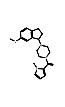 COc1ccc2c(c1)C(N1CCN(C(=O)c3cccn3C)CC1)CC2